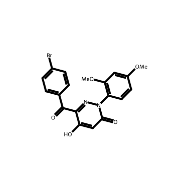 COc1ccc(-n2nc(C(=O)c3ccc(Br)cc3)c(O)cc2=O)c(OC)c1